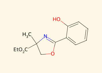 CCOC(=O)C1(C)COC(c2ccccc2O)=N1